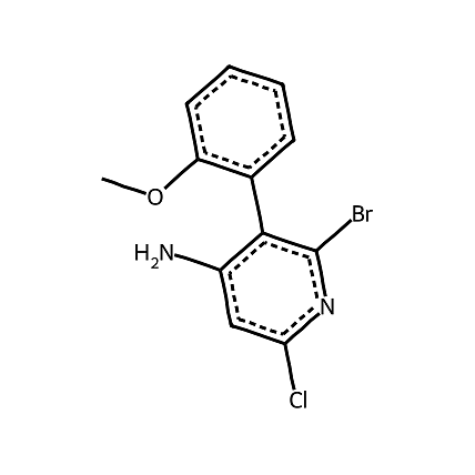 COc1ccccc1-c1c(N)cc(Cl)nc1Br